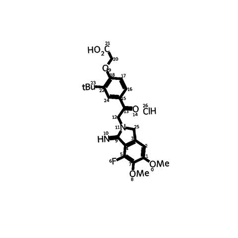 COc1cc2c(c(F)c1OC)C(=N)N(CC(=O)c1ccc(OCC(=O)O)c(C(C)(C)C)c1)C2.Cl